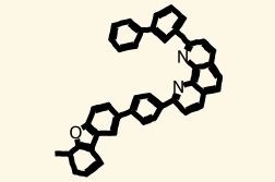 CC1CC=Cc2c1oc1ccc(-c3ccc(-c4ccc5ccc6ccc(-c7cccc(-c8ccccc8)c7)nc6c5n4)cc3)cc21